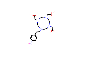 O=C(O)CN1CCN(CCc2ccc([N+](=O)[O-])cc2)CCN(CC(=O)O)CCN(CC(=O)O)CC1